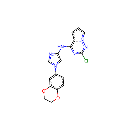 Clc1nc(Nc2cn(-c3ccc4c(c3)OCCO4)cn2)c2cccn2n1